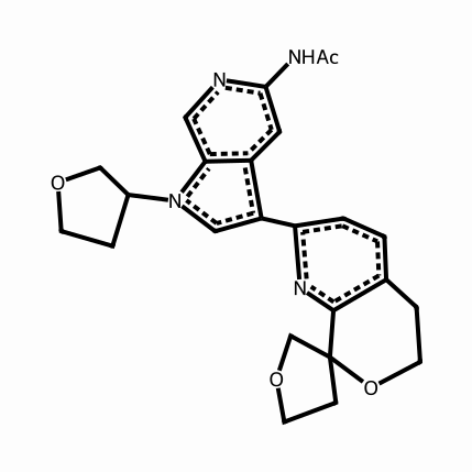 CC(=O)Nc1cc2c(-c3ccc4c(n3)C3(CCOC3)OCC4)cn(C3CCOC3)c2cn1